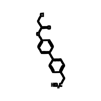 O=C(O)Cc1ccc(-c2ccc(OC(=O)CCl)cc2)cc1